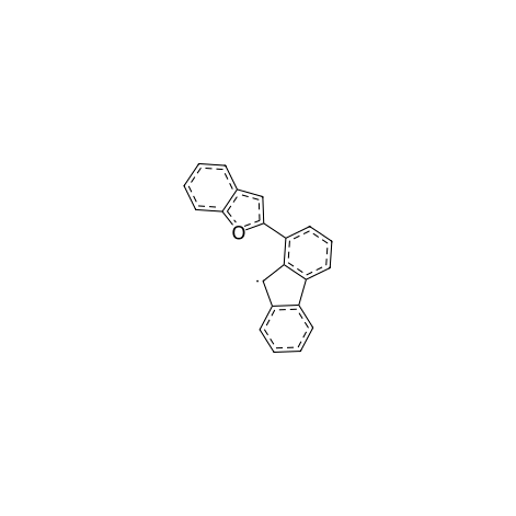 [CH]1c2ccccc2-c2cccc(-c3cc4ccccc4o3)c21